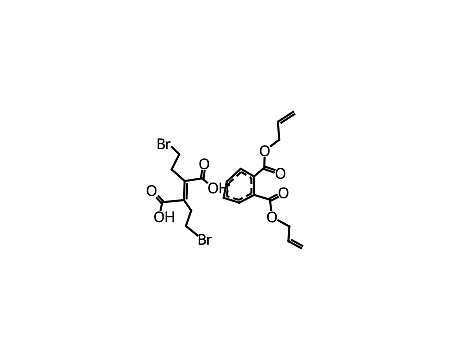 C=CCOC(=O)c1ccccc1C(=O)OCC=C.O=C(O)C(CCBr)=C(CCBr)C(=O)O